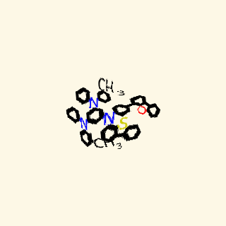 Cc1cccc(N(c2ccccc2)c2cc(N(c3ccccc3)c3cccc(C)c3)cc(N(c3ccc(-c4cccc5c4oc4ccccc45)cc3)c3cccc4c3sc3ccccc34)c2)c1